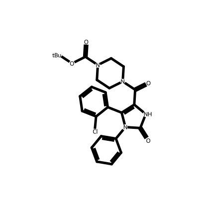 CC(C)(C)OC(=O)N1CCN(C(=O)c2[nH]c(=O)n(-c3ccccc3)c2-c2ccccc2Cl)CC1